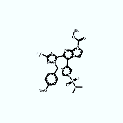 COc1ccc(Cn2nc(C(F)(F)F)nc2-c2nc3n(C(=O)OC(C)(C)C)ccn3c2-c2cn(S(=O)(=O)N(C)C)cn2)cc1